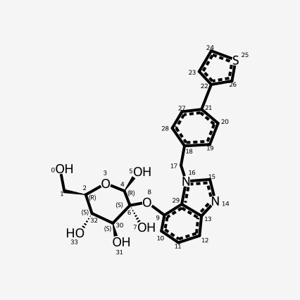 OC[C@H]1O[C@@H](O)[C@@](O)(Oc2cccc3ncn(Cc4ccc(-c5ccsc5)cc4)c23)[C@@H](O)[C@@H]1O